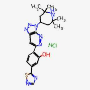 CC1(C)CC(n2nnc3cc(-c4ccc(-c5ncns5)cc4O)nnc32)CC(C)(C)N1.Cl